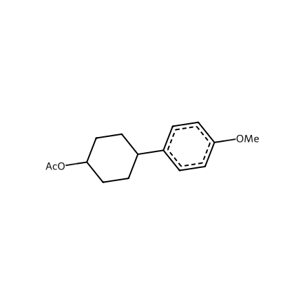 COc1ccc(C2CCC(OC(C)=O)CC2)cc1